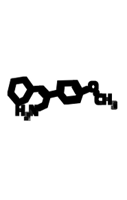 COc1ccc(C(=CC2CCCCC2)CN)cc1